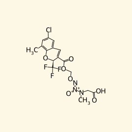 Cc1cc(Cl)cc2c1O[C@H](C(F)(F)F)C(C(=O)OCO/N=[N+](\[O-])N(C)CC(=O)O)=C2